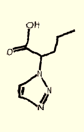 CCCC(C(=O)O)n1ccnn1